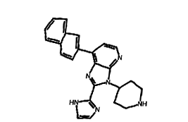 c1ccc2cc(-c3ccnc4c3nc(-c3ncc[nH]3)n4C3CCNCC3)ccc2c1